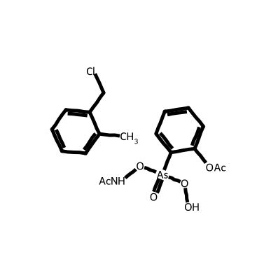 CC(=O)NO[As](=O)(OO)c1ccccc1OC(C)=O.Cc1ccccc1CCl